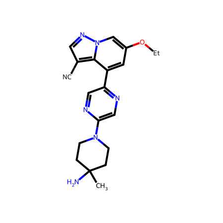 CCOc1cc(-c2cnc(N3CCC(C)(N)CC3)cn2)c2c(C#N)cnn2c1